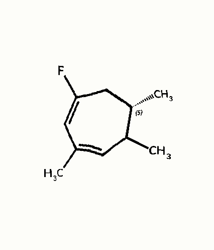 CC1=CC(C)[C@@H](C)CC(F)=C1